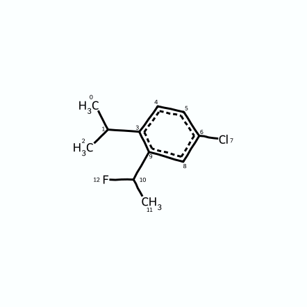 CC(C)c1ccc(Cl)cc1C(C)F